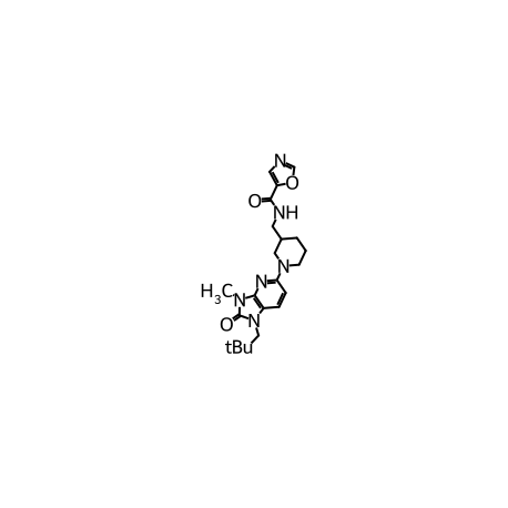 Cn1c(=O)n(CC(C)(C)C)c2ccc(N3CCCC(CNC(=O)c4cnco4)C3)nc21